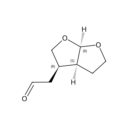 O=CC[C@H]1CO[C@H]2OCC[C@@H]12